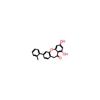 Cc1ccccc1-c1ccc2c(c1)Oc1cc(O)cc(O)c1C(=O)C2